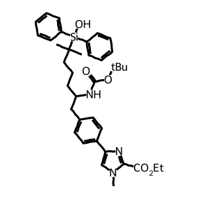 CCOC(=O)c1nc(-c2ccc(CC(CCCC(C)(C)[Si](O)(c3ccccc3)c3ccccc3)NC(=O)OC(C)(C)C)cc2)cn1C